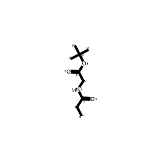 [CH2]CC(=O)NCC(=O)OC(C)(C)C